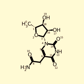 C[C@H]1O[C@@H](n2cc(CC(N)=O)c(=O)[nH]c2=O)[C@H](O)[C@@H]1O